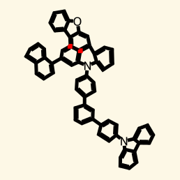 c1cc(-c2ccc(N(c3cccc(-c4cccc5ccccc45)c3)c3ccccc3-c3ccc4c(c3)oc3ccccc34)cc2)cc(-c2ccc(-n3c4ccccc4c4ccccc43)cc2)c1